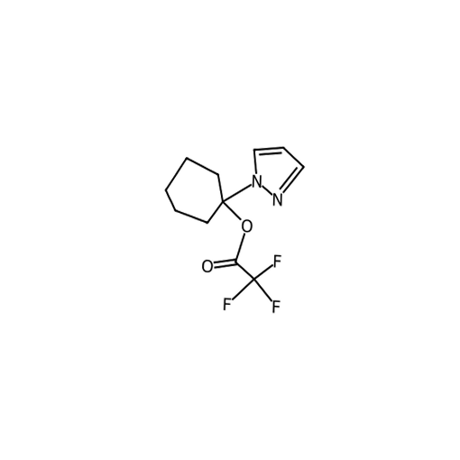 O=C(OC1(n2cccn2)CCCCC1)C(F)(F)F